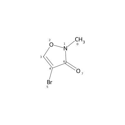 Cn1occ(Br)c1=O